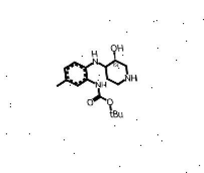 Cc1ccc(NC2CCNC[C@@H]2O)c(NC(=O)OC(C)(C)C)c1